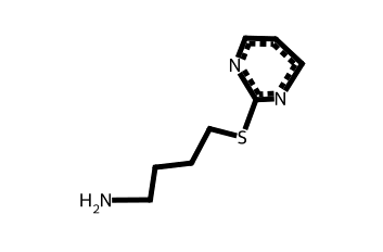 NCCCCSc1ncccn1